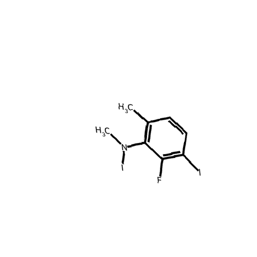 Cc1ccc(I)c(F)c1N(C)I